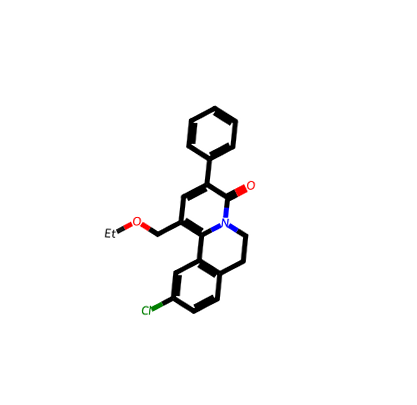 CCOCc1cc(-c2ccccc2)c(=O)n2c1-c1cc(Cl)ccc1CC2